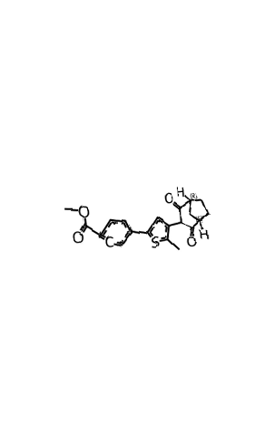 COC(=O)c1ccc(-c2cc(C3C(=O)[C@@H]4CC[C@@H](C4)C3=O)c(C)s2)cc1